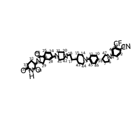 N#Cc1ccc(N2CC[C@H](c3ccc(N4CCC(CCN5CCN(c6ccc7c(c6)CN(C6CCC(=O)NC6=O)C7=O)CC5)CC4)cc3)C2)cc1C(F)(F)F